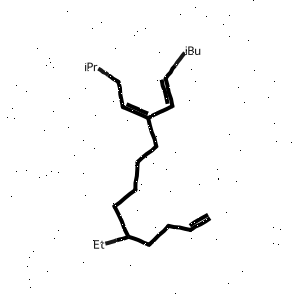 C=CCCC(CC)CCCCC(C=CC(C)CC)=CCC(C)C